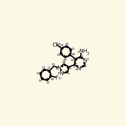 Nc1ncnc(-c2cnn(Cc3ccccc3F)c2)c1-c1ccc(Cl)cc1